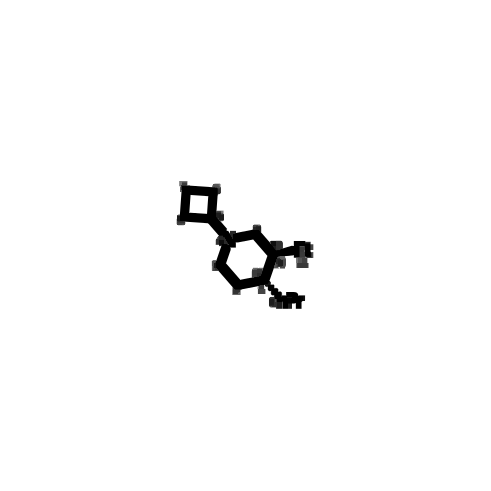 CCC[C@@H]1CCN(C2CCC2)C[C@H]1CC